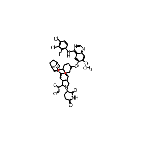 COc1cc2ncnc(Nc3ccc(Cl)c(Cl)c3F)c2cc1OC1CCC(CN2C3CCC2CN(c2ccc4c(c2)C(C(=O)C=O)N(C2CCC(=O)NC2=O)C4)C3)CC1